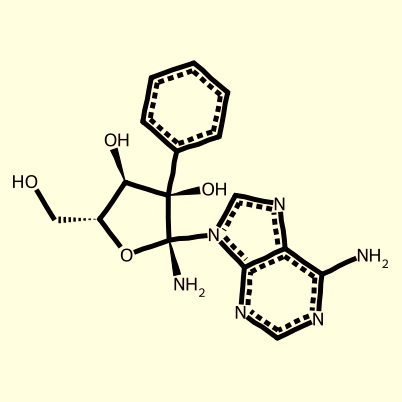 Nc1ncnc2c1ncn2[C@]1(N)O[C@H](CO)[C@@H](O)[C@]1(O)c1ccccc1